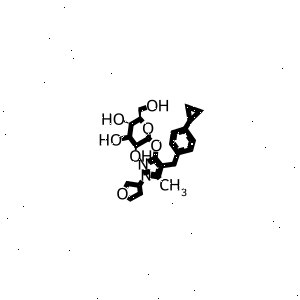 Cc1c(Cc2ccc(C3CC3)cc2)c(OC2O[C@H](CO)[C@@H](O)C(O)[C@H]2O)nn1C1CCOC1